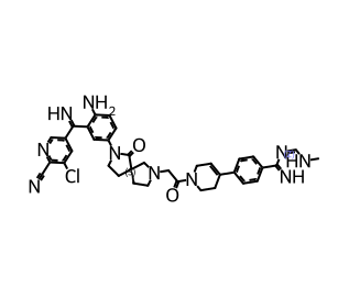 CN/C=N\C(=N)c1ccc(C2=CCN(C(=O)CN3CC[C@]4(CCN(c5ccc(N)c(C(=N)c6cnc(C#N)c(Cl)c6)c5)C4=O)C3)CC2)cc1